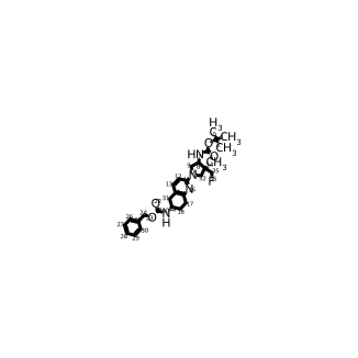 CC(C)(C)OC(=O)NC1CN(c2ccc3c(n2)CC[C@H](NC(=O)OCc2ccccc2)C3)CC1(C)CF